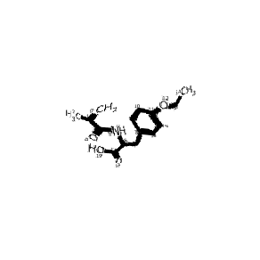 C=C(C)C(=O)NC(Cc1ccc(OCC)cc1)C(=O)O